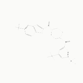 CC(F)(F)c1cc(C(=O)N2CCN(C(=O)c3cc4cc(C(F)(F)F)ccc4[nH]3)CC2)cc(C(F)(F)F)c1